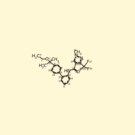 CCOC(C)(C)c1ccc(-c2ccccc2NC(=O)c2cn(C)nc2C(F)(F)F)cc1